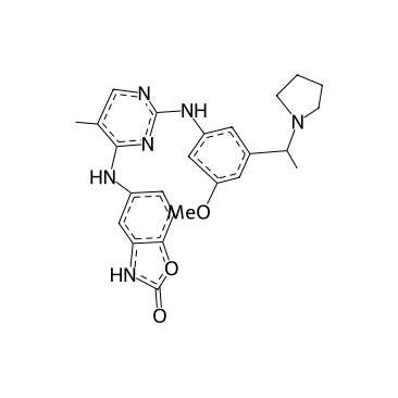 COc1cc(Nc2ncc(C)c(Nc3ccc4oc(=O)[nH]c4c3)n2)cc(C(C)N2CCCC2)c1